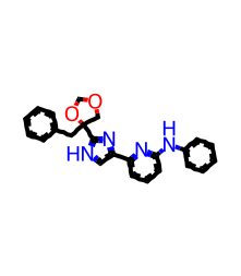 c1ccc(CC2(c3nc(-c4cccc(Nc5ccccc5)n4)c[nH]3)COCO2)cc1